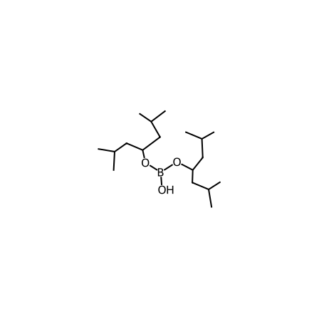 CC(C)CC(CC(C)C)OB(O)OC(CC(C)C)CC(C)C